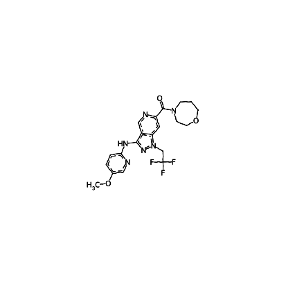 COc1ccc(Nc2nn(CC(F)(F)F)c3cc(C(=O)N4CCCOCC4)ncc23)nc1